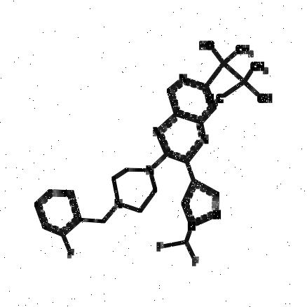 CC(C)(O)C(C)(O)c1cc2nc(-c3cnn(C(F)F)c3)c(N3CCN(Cc4ccccc4F)CC3)nc2cn1